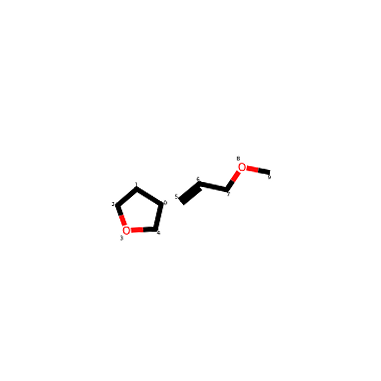 C1CCOC1.C=CCOC